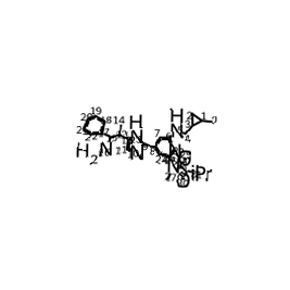 CC1CC1CNc1cc(-c2ncc([C@H](C)C(N)c3ccccc3)[nH]2)cc(N(C)S(=O)(=O)C(C)C)n1